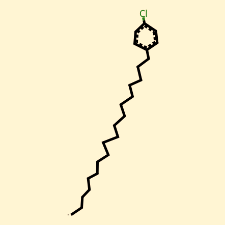 [CH2]CCCCCCCCCCCCCCCCCc1ccc(Cl)cc1